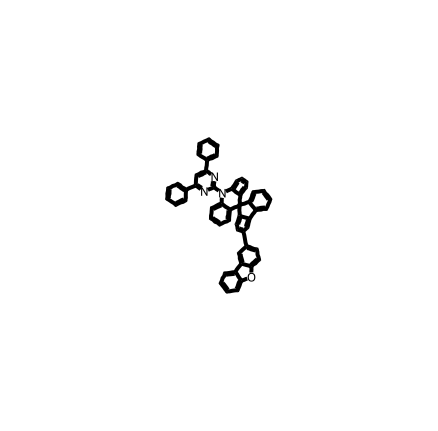 c1ccc(-c2cc(-c3ccccc3)nc(N3c4ccccc4C4(c5ccccc5-c5cc(-c6ccc7oc8ccccc8c7c6)ccc54)c4ccccc43)n2)cc1